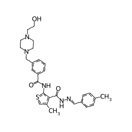 Cc1ccc(C=NNC(=O)c2c(C)csc2NC(=O)c2cccc(CN3CCN(CCO)CC3)c2)cc1